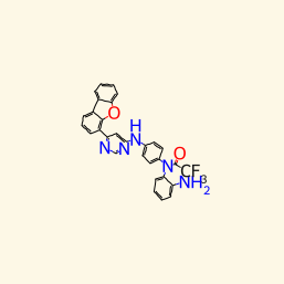 Nc1ccccc1N(C(=O)C(F)(F)F)c1ccc(Nc2cc(-c3cccc4c3oc3ccccc34)ncn2)cc1